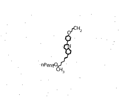 C=CCOc1ccc(-c2ccc3cc(C=CCCCC(C)OCCCCC)ccc3n2)cc1